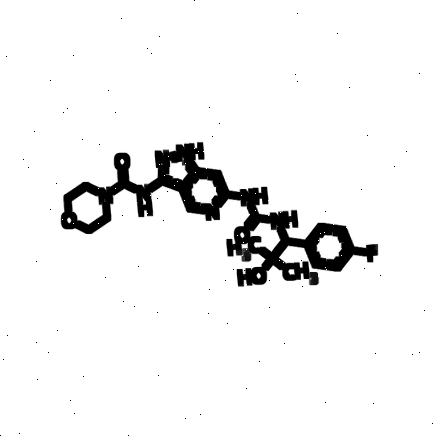 CC(C)(O)C(NC(=O)Nc1cc2[nH]nc(NC(=O)N3CCOCC3)c2cn1)c1ccc(F)cc1